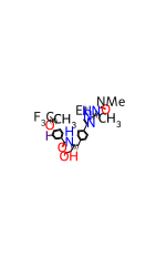 CCn1cc(-c2ccc(C[C@@H](CCO)NC(=O)c3ccc(O[C@H](C)C(F)(F)F)c(I)c3)cc2)nc1[C@@H](C)NC(=O)NC